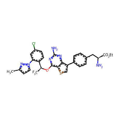 CCOC(=O)[C@@H](N)Cc1ccc(-c2csc3c(O[C@H](c4ccc(Cl)cc4-n4ccc(C)n4)C(F)(F)F)nc(N)nc23)cc1